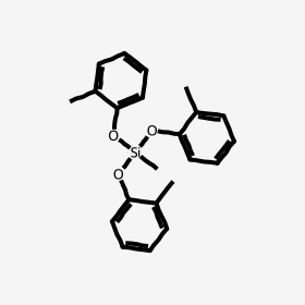 Cc1ccccc1O[Si](C)(Oc1ccccc1C)Oc1ccccc1C